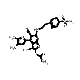 Cc1cc(-c2c(C#N)c(NCCc3ccc(S(N)(=O)=O)cc3)nc3sc(OC(N)=O)c(N)c23)oc1C